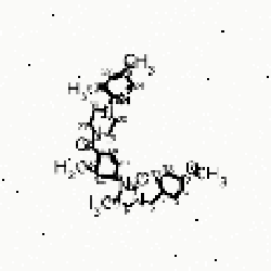 COc1ccc(CN2CC(C)N(c3ccc(C(=O)N4CCN(c5ncc(C)cc5C)CC4)c(C)c3)C2=O)cc1